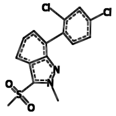 Cn1nc2c(-c3ccc(Cl)cc3Cl)cccc2c1S(C)(=O)=O